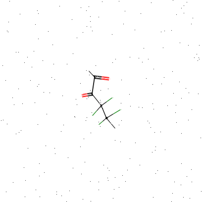 O=C(C(=O)C(F)(F)C(F)(F)C(F)(F)F)C(F)(F)F